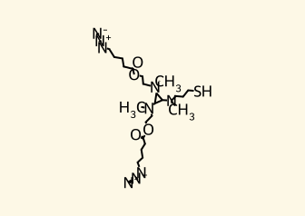 CN(CCCS)C1C(N(C)CCOC(=O)CCCCN=[N+]=[N-])C1N(C)CCOC(=O)CCCCN=[N+]=[N-]